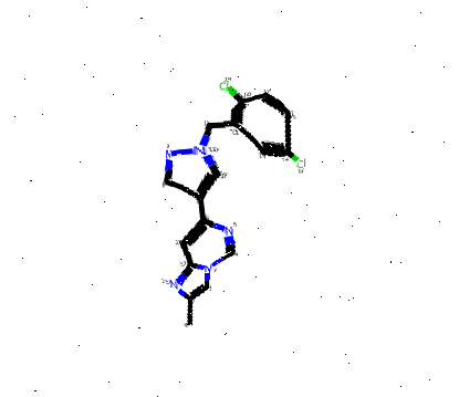 Cc1cn2[c]nc(-c3cnn(Cc4cc(Cl)ccc4Cl)c3)cc2n1